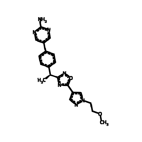 COCCn1cc(-c2nc([C@@H](C)c3ccc(-c4cnc(N)nc4)cc3)no2)cn1